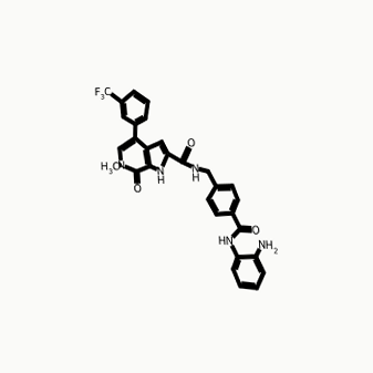 Cn1cc(-c2cccc(C(F)(F)F)c2)c2cc(C(=O)NCc3ccc(C(=O)Nc4ccccc4N)cc3)[nH]c2c1=O